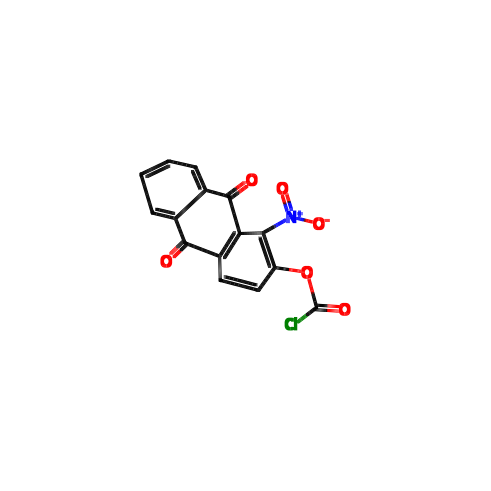 O=C(Cl)Oc1ccc2c(c1[N+](=O)[O-])C(=O)c1ccccc1C2=O